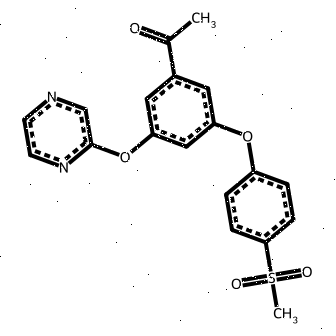 CC(=O)c1cc(Oc2ccc(S(C)(=O)=O)cc2)cc(Oc2cnccn2)c1